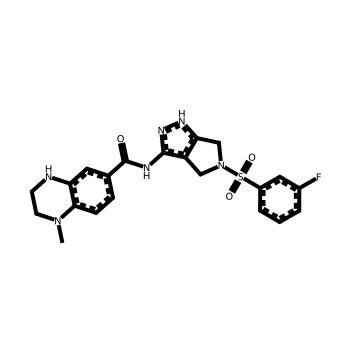 CN1CCNc2cc(C(=O)Nc3n[nH]c4c3CN(S(=O)(=O)c3cccc(F)c3)C4)ccc21